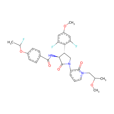 COc1cc(F)c([C@@H]2CN(c3cccn(CC(C)OC)c3=O)C(=O)[C@H]2NC(=O)c2ccc(OC(C)F)cc2)c(F)c1